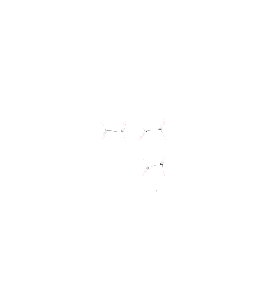 O=C([O-])C(=O)[O-].O=C([O-])C(=O)[O-].O=C([O-])C(=O)[O-].[Cu+2].[Si+4]